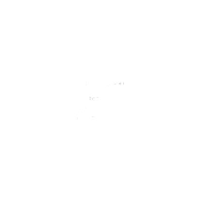 CCN(CCO)C1CCCC1C